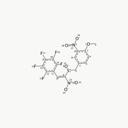 COc1ccc(C[S+]([O-])/C(=C\c2c(F)c(F)c(F)c(F)c2F)[N+](=O)[O-])cc1[N+](=O)[O-]